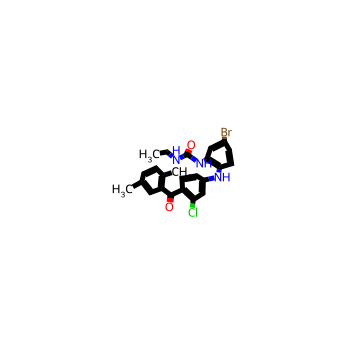 CCNC(=O)Nc1cc(Br)ccc1Nc1ccc(C(=O)c2cc(C)ccc2C)c(Cl)c1